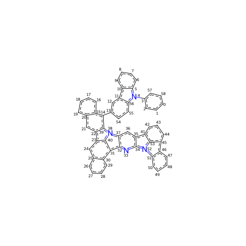 c1ccc(-n2c3ccccc3c3cc(-c4c5ccccc5cc5c6cc7ccccc7c7c8nc9c(cc8n(c45)c67)c4cccc5c6ccccc6n9c54)ccc32)cc1